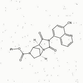 CC(C)OC(=O)N1C[C@H]2CC1[C@H]1C(=O)N(c3ccc(C#N)c4ncccc34)C(=O)N21